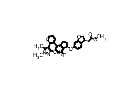 COC(=O)C[C@@H]1COc2cc(O[C@@H]3CCc4c(-c5cccnc5-c5c(C)nn(C)c5C)ccc(F)c43)ccc21